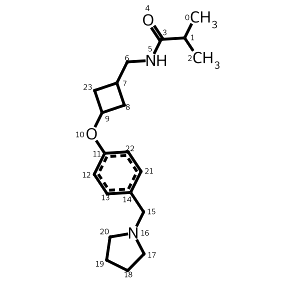 CC(C)C(=O)NCC1CC(Oc2ccc(CN3CCCC3)cc2)C1